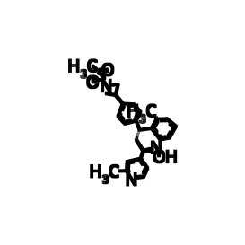 Cc1cc(/C(C[C@H](c2ccc(C3CN(S(C)(=O)=O)C3)cc2)c2ccccc2C)=N\O)ccn1